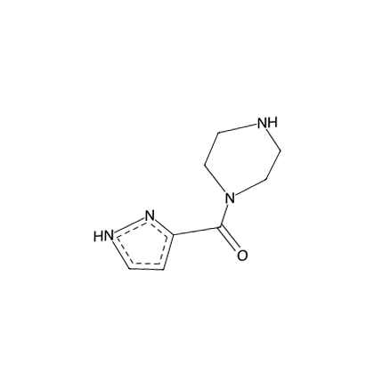 O=C(c1cc[nH]n1)N1CCNCC1